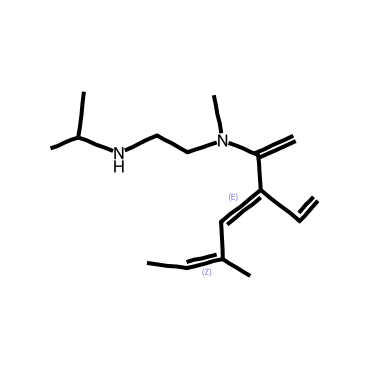 C=C/C(=C\C(C)=C/C)C(=C)N(C)CCNC(C)C